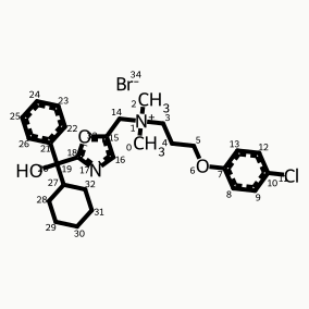 C[N+](C)(CCCOc1ccc(Cl)cc1)Cc1cnc(C(O)(c2ccccc2)C2CCCCC2)o1.[Br-]